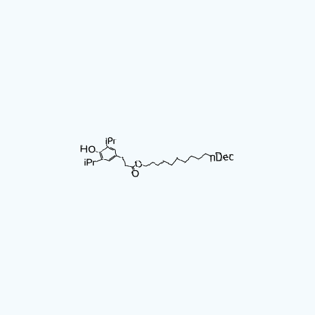 CCCCCCCCCCCCCCCCCCCCOC(=O)CCc1cc(C(C)C)c(O)c(C(C)C)c1